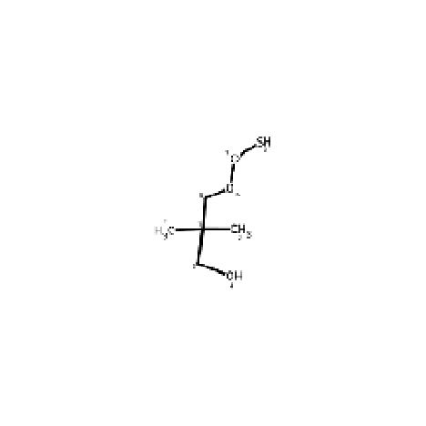 CC(C)(CO)COOS